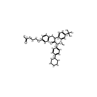 CON(C(=O)C(Cc1ccc(OCCSC(C)=O)cc1)c1ccc(C(C)(C)C)cc1)c1ccc(C2CCCCC2)cc1